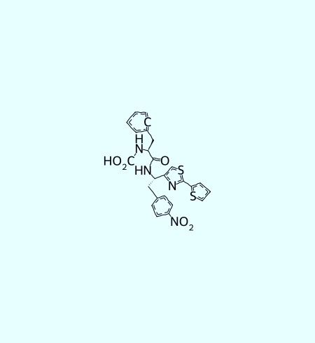 O=C(O)N[C@@H](Cc1ccccc1)C(=O)N[C@@H](Cc1ccc([N+](=O)[O-])cc1)c1csc(-c2cccs2)n1